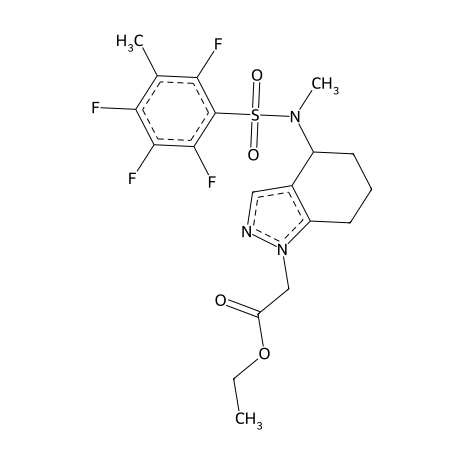 CCOC(=O)Cn1ncc2c1CCCC2N(C)S(=O)(=O)c1c(F)c(C)c(F)c(F)c1F